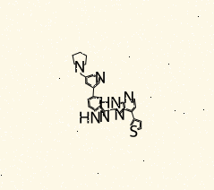 c1cc(-c2ccsc2)c2nc(-c3n[nH]c4ccc(-c5cncc(CN6CCCCC6)c5)cc34)[nH]c2n1